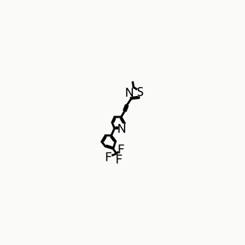 Cc1nc(C#Cc2ccc(-c3cccc(C(F)(F)F)c3)nc2)cs1